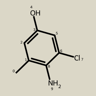 Cc1cc(O)cc(Cl)c1N